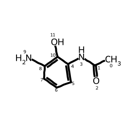 CC(=O)Nc1cccc(N)c1O